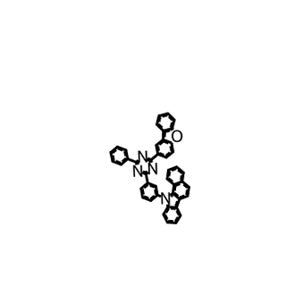 c1ccc(-c2nc(-c3cccc(-n4c5ccccc5c5ccc6ccccc6c54)c3)nc(-c3ccc4oc5ccccc5c4c3)n2)cc1